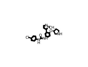 Cn1nccc1-c1cc(NC(=O)Nc2ccc(Cl)cc2)ccc1O[C@@H]1CCNC1